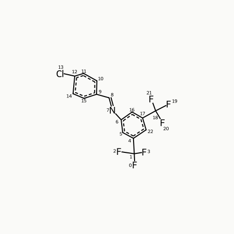 FC(F)(F)c1cc(N=Cc2ccc(Cl)cc2)cc(C(F)(F)F)c1